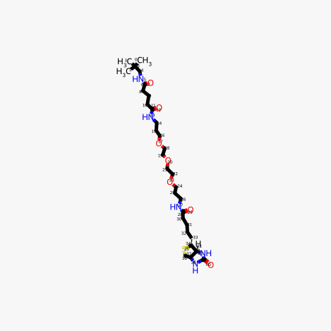 CC(C)(C)CNC(=O)CCCC(=O)NCCCOCCOCCOCCCNC(=O)CCCC[C@H]1SCC2NC(=O)N[C@@H]21